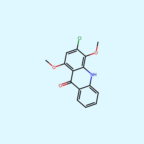 COc1c(Cl)cc(OC)c2c(=O)c3ccccc3[nH]c12